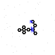 c1ccc(-c2cc(-c3cccc(-c4cccnc4)c3)nc(-c3ccc(-c4c5ccccc5c(-c5ccccc5)c5ccccc45)cc3)n2)cc1